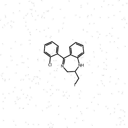 Clc1ccccc1C1=NCC(CI)Nc2ccccc21